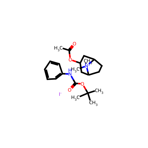 CC(=O)OC1CC2CCC(C1)[N+]2(C)C.CC(C)(C)OC(=O)Nc1ccccc1.[I-]